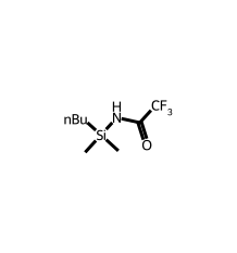 CCCC[Si](C)(C)NC(=O)C(F)(F)F